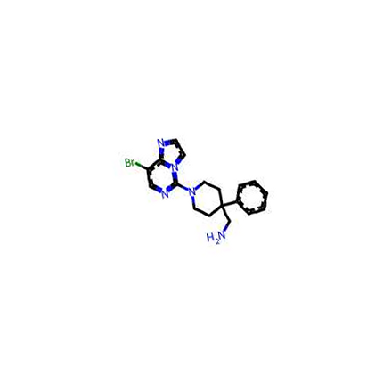 NCC1(c2ccccc2)CCN(c2ncc(Br)c3nccn23)CC1